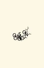 C=C(C)[C@@H](C[C@@H](OC(C)=O)c1nc(C(=O)O)cs1)N(CCC)C(=O)[C@@H](C)[C@@H](C)CC